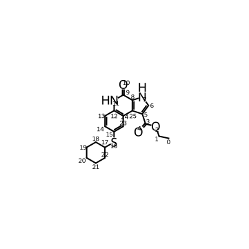 CCOC(=O)c1c[nH]c2c(=O)[nH]c3ccc(SC4CCCCC4)cc3c12